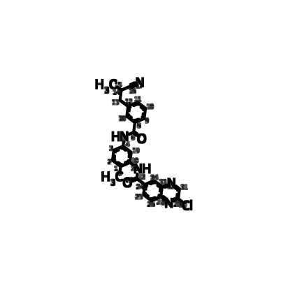 Cc1ccc(NC(=O)c2cccc(CC(C)C#N)c2)cc1NC(=O)c1ccc2nc(Cl)cnc2c1